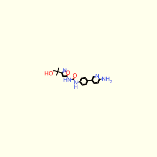 CC(C)(CO)c1cc(NC(=O)Nc2ccc(-c3ccc(N)nc3)cc2)on1